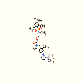 COc1cc(C)c(S(=O)(=O)N(C)CCOCC(=O)N(C)Cc2ccc(N3CCCC(N(C)C)C3)cc2C)c(C)c1